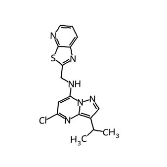 CC(C)c1cnn2c(NCc3nc4cccnc4s3)cc(Cl)nc12